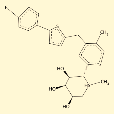 Cc1ccc([C@H]2[C@H](O)[C@H](O)[C@H](O)C[SH]2C)cc1Cc1ccc(-c2ccc(F)cc2)s1